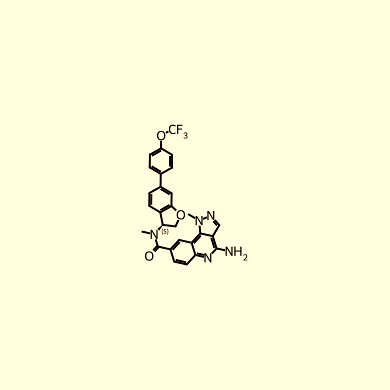 CN(C(=O)c1ccc2nc(N)c3cnn(C)c3c2c1)[C@@H]1COc2cc(-c3ccc(OC(F)(F)F)cc3)ccc21